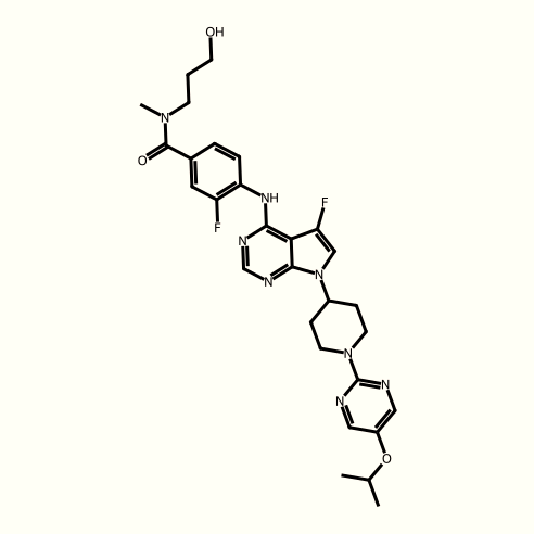 CC(C)Oc1cnc(N2CCC(n3cc(F)c4c(Nc5ccc(C(=O)N(C)CCCO)cc5F)ncnc43)CC2)nc1